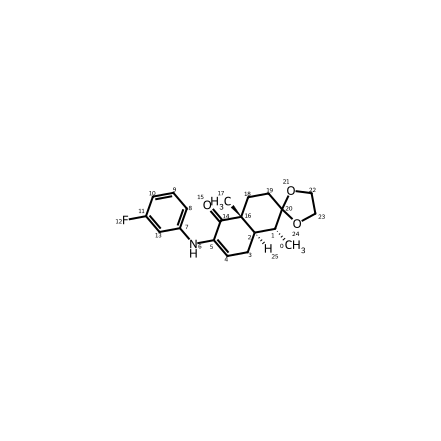 C[C@@H]1[C@H]2CC=C(Nc3cccc(F)c3)C(=O)[C@]2(C)CCC12OCCO2